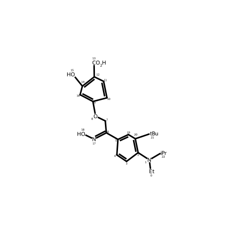 CCN(c1ccc(/C(COc2ccc(C(=O)O)c(O)c2)=N/O)cc1C(C)(C)C)C(C)C